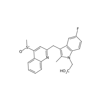 Cc1c(Cc2cc([S+](C)[O-])c3ccccc3n2)c2cc(F)ccc2n1CC(=O)O